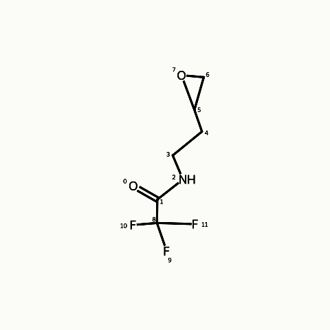 O=C(NCCC1CO1)C(F)(F)F